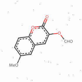 COc1ccc2oc(=O)c(OC=O)cc2c1